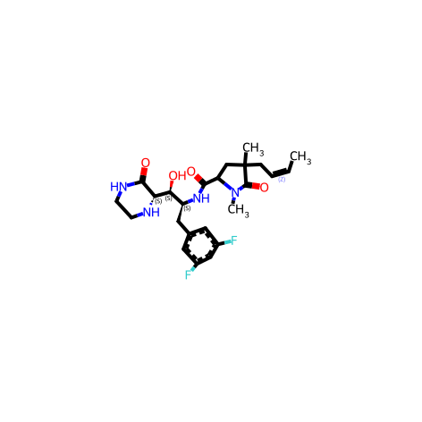 C/C=C\CC1(C)CC(C(=O)N[C@@H](Cc2cc(F)cc(F)c2)[C@H](O)[C@@H]2NCCNC2=O)N(C)C1=O